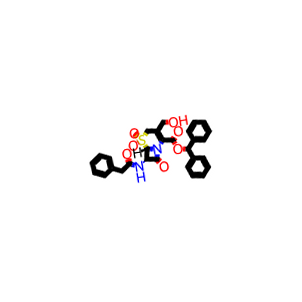 O=C(Cc1ccccc1)N[C@H]1C(=O)N2C(C(=O)OC(c3ccccc3)c3ccccc3)=C(CO)CS(=O)(=O)[C@@H]12